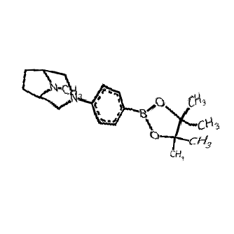 CN1C2CCC1CN(c1ccc(B3OC(C)(C)C(C)(C)O3)cc1)C2